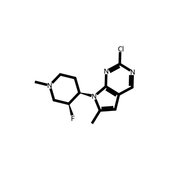 Cc1cc2cnc(Cl)nc2n1[C@@H]1CCN(C)C[C@@H]1F